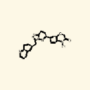 CCN1C(=O)COc2cc(-c3ccc4nnc(Cc5ccc6ncccc6c5)n4n3)ccc21